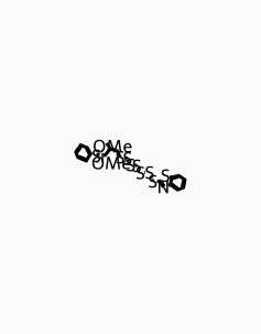 CO[Si](CC(C)CSSSSSSSc1nc2ccccc2s1)(OC)c1ccccc1